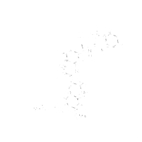 COCCOc1cc2cc(C(=O)Nc3cc(C(=O)NCCc4ccccc4N)ccc3Cl)c(=O)[nH]c2cc1OC